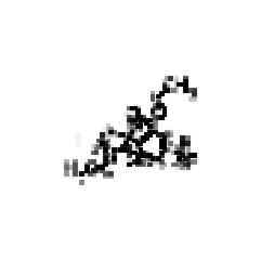 CCOC(=O)c1cc(C(F)(F)F)ccc1C(Br)(CC)C(=O)OCC